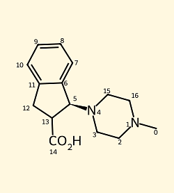 CN1CCN([C@@H]2c3ccccc3CC2C(=O)O)CC1